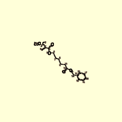 C=C(C(=O)OCC)C(=O)OCCCCCC(=O)OCc1ccccc1